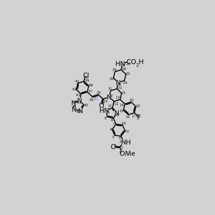 COC(=O)Nc1ccc(-c2c[nH]c(C3C(c4ccc(F)cc4)CC(N4CCC(NC(=O)O)CC4)CN3C(=O)/C=C/c3cc(Cl)ccc3-n3cnnn3)n2)cc1